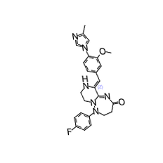 COc1cc(/C=C2\NCCN3C2=NC(=O)CCN3c2ccc(F)cc2)ccc1-n1cnc(C)c1